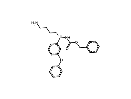 NCCCC[C@H](NC(=O)OCc1ccccc1)c1cccc(Oc2ccccc2)c1